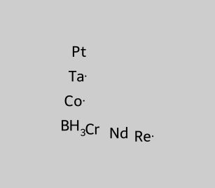 B.[Co].[Cr].[Nd].[Pt].[Re].[Ta]